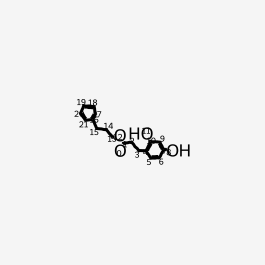 O=C(CCc1ccc(O)cc1O)OCCCc1ccccc1